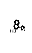 Cl.c1ccc2c(-n3ccnc3)cccc2c1